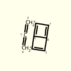 C=C=C.c1cc2ccc1-2